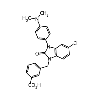 CN(C)c1ccc(-n2c(=O)n(Cc3cccc(C(=O)O)c3)c3ccc(Cl)cc32)cc1